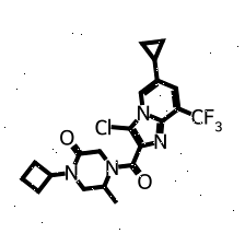 CC1CN(C2CCC2)C(=O)CN1C(=O)c1nc2c(C(F)(F)F)cc(C3CC3)cn2c1Cl